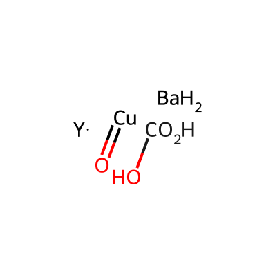 O=C(O)O.[BaH2].[O]=[Cu].[Y]